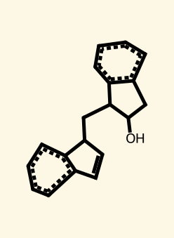 OC1Cc2ccccc2C1CC1C=Cc2ccccc21